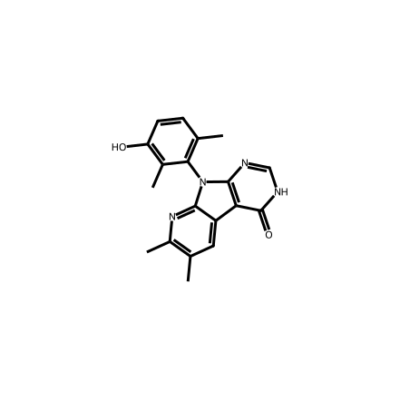 Cc1cc2c3c(=O)[nH]cnc3n(-c3c(C)ccc(O)c3C)c2nc1C